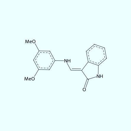 COc1cc(N/C=C2/C(=O)Nc3ccccc32)cc(OC)c1